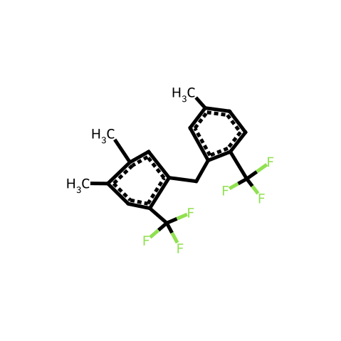 Cc1ccc(C(F)(F)F)c(Cc2cc(C)c(C)cc2C(F)(F)F)c1